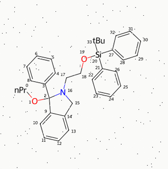 CCCOC1(c2ccccc2)c2ccccc2CN1CCO[Si](c1ccccc1)(c1ccccc1)C(C)(C)C